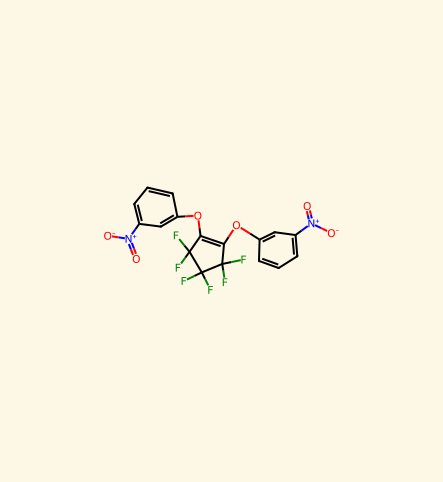 O=[N+]([O-])c1cccc(OC2=C(Oc3cccc([N+](=O)[O-])c3)C(F)(F)C(F)(F)C2(F)F)c1